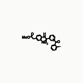 [CH2]c1ccccc1C(=O)N1C=CC=C(C(=O)Nc2ccc(CC(=O)OC)cc2[N+](=O)[O-])C1